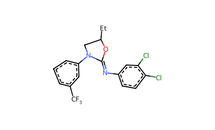 CCC1CN(c2cccc(C(F)(F)F)c2)C(=Nc2ccc(Cl)c(Cl)c2)O1